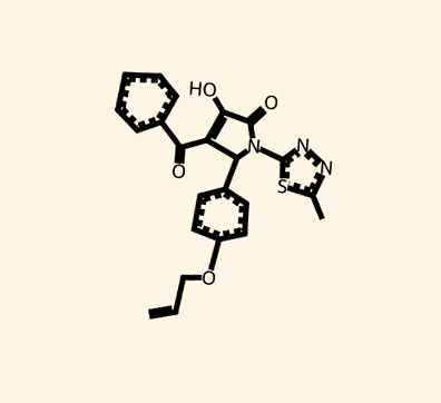 C=CCOc1ccc(C2C(C(=O)c3ccccc3)=C(O)C(=O)N2c2nnc(C)s2)cc1